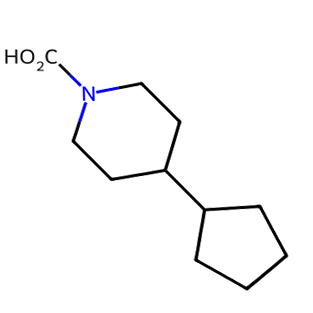 O=C(O)N1CCC(C2CCCC2)CC1